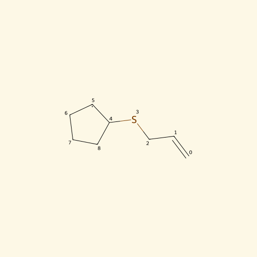 C=CCSC1[CH]CCC1